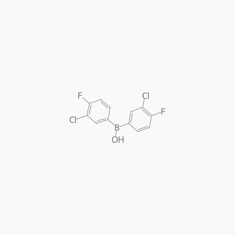 OB(c1ccc(F)c(Cl)c1)c1ccc(F)c(Cl)c1